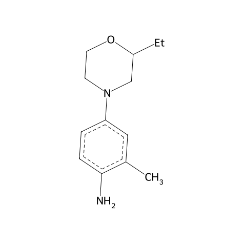 CCC1CN(c2ccc(N)c(C)c2)CCO1